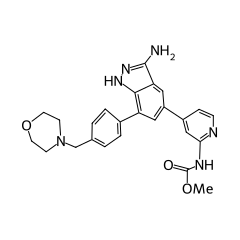 COC(=O)Nc1cc(-c2cc(-c3ccc(CN4CCOCC4)cc3)c3[nH]nc(N)c3c2)ccn1